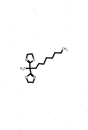 CCCCCCCCC(C)(C1=NCCO1)C1=NCCO1